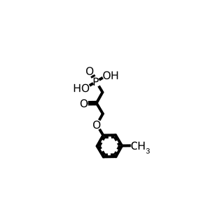 Cc1cccc(OCC(=O)CP(=O)(O)O)c1